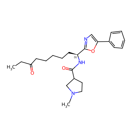 CCC(=O)CCCCC[C@H](NC(=O)C1CCN(C)C1)c1ncc(-c2ccccc2)o1